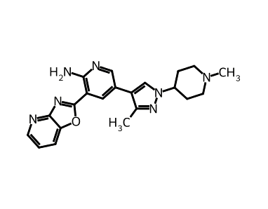 Cc1nn(C2CCN(C)CC2)cc1-c1cnc(N)c(-c2nc3ncccc3o2)c1